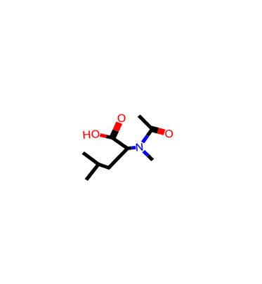 CC(=O)N(C)C(CC(C)C)C(=O)O